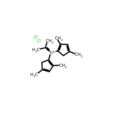 CC1=CC(C)=[C]([Ti+2]([C]2=C(C)C=C(C)C2)=[C](C)C)C1.[Cl-].[Cl-]